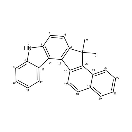 CC1(C)c2ccc3[nH]c4ccccc4c3c2-c2ccc3ccccc3c21